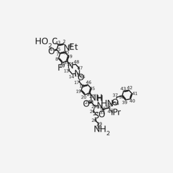 CCn1cc(C(=O)O)c(=O)c2cc(F)c(N3CCN(OCc4ccc(NC(=O)[C@H](CSCCN)NC(=O)[C@@H](NOCc5ccccc5)C(C)C)cc4)CC3)cc21